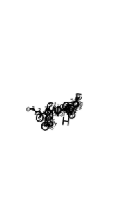 CCCCC(=O)c1cc(Cl)c(N2CCC(C(=O)NS(=O)(=O)Cc3ccc(F)cc3F)CC2)nc1CN1CCCC1=O